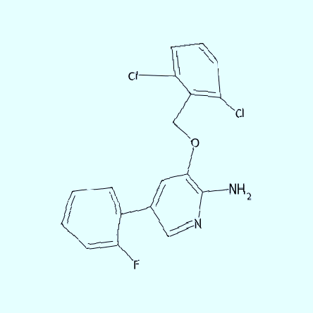 Nc1ncc(-c2ccccc2F)cc1OCc1c(Cl)cccc1Cl